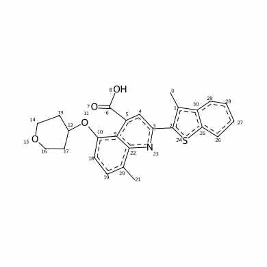 Cc1c(-c2cc(C(=O)O)c3c(OC4CCOCC4)ccc(C)c3n2)sc2ccccc12